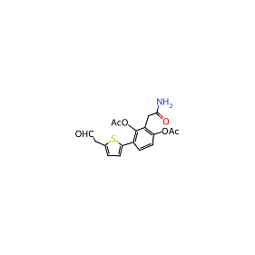 CC(=O)Oc1ccc(-c2ccc(CC=O)s2)c(OC(C)=O)c1CC(N)=O